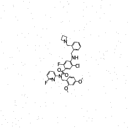 COc1ccc(CN(c2cccc(F)n2)S(=O)(=O)c2cc(Cl)c(NCc3ccccc3CN3CCC3)cc2F)c(OC)c1